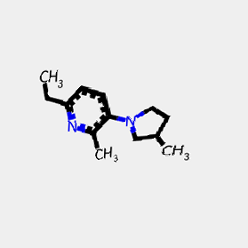 CCc1ccc(N2CCC(C)C2)c(C)n1